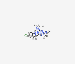 CC1=NN(c2nc(/C=C3\N(C)c4ccc(Cl)cc4C3(C)C)nc(-n3nc(C)cc3C)n2)C(C)C1